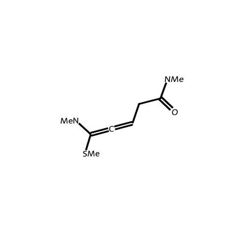 CNC(=O)CC=C=C(NC)SC